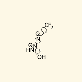 O=C(Cc1ccc(C(F)(F)F)cc1)N1CCC(n2c(=O)[nH]c3cc(O)ccc32)CC1